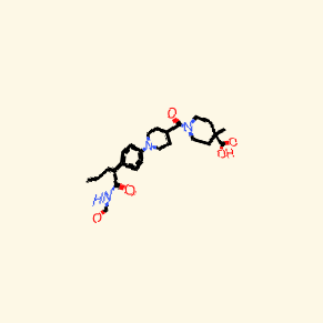 CCCC(C(=O)NC=O)c1ccc(N2CCC(C(=O)N3CCC(C)(C(=O)O)CC3)CC2)cc1